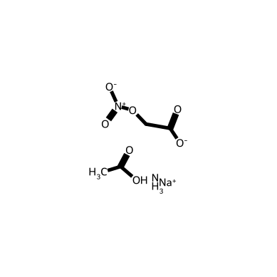 CC(=O)O.N.O=C([O-])CO[N+](=O)[O-].[Na+]